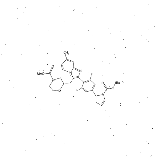 COC(=O)N1CCO[C@@H](Cc2c(-c3c(F)cc(-c4cccn4C(=O)OC(C)(C)C)cc3F)nc3cc(C)ccn23)C1